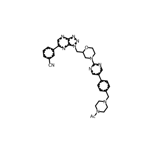 CC(=O)N1CCN(Cc2ccc(-c3cnc(N4CCOC(Cn5nnc6ncc(-c7cccc(C#N)c7)nc65)C4)nc3)cc2)CC1